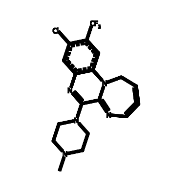 CN1CCN(C2=Nc3cc(Cl)c(C(F)(F)F)cc3N3CC=C=CN=C23)CC1